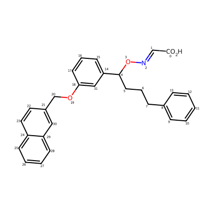 O=C(O)C=NOC(CCCc1ccccc1)c1cccc(OCc2ccc3ccccc3c2)c1